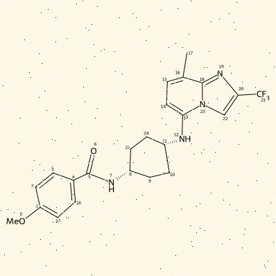 COc1ccc(C(=O)N[C@H]2CC[C@@H](Nc3ccc(C)c4nc(C(F)(F)F)cn34)CC2)cc1